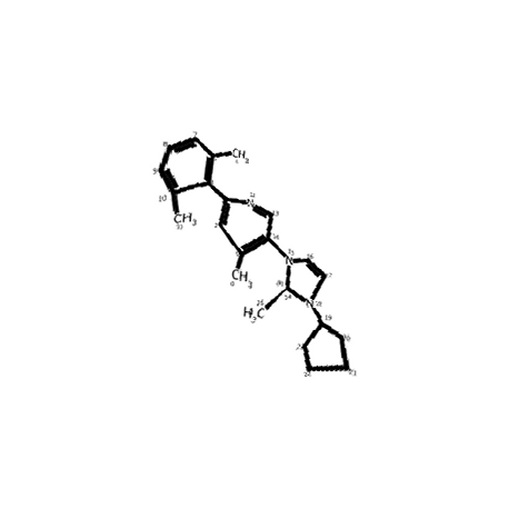 Cc1cc(-c2c(C)cccc2C)ncc1N1C=CN(C2CCCC2)[C@H]1C